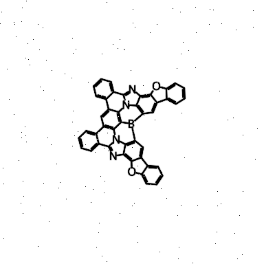 c1ccc2c(c1)oc1c2cc2c3c1nc1c4ccccc4c4cc5c6ccccc6c6nc7c8oc9ccccc9c8cc8c7n6c5c(c4n13)B28